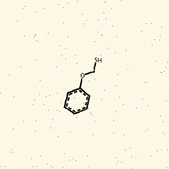 SCOc1c[c]ccc1